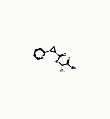 CC(C)(C)C(=O)[C@@H](NC(=O)[C@@H]1C[C@@H]1c1ccccn1)C(C)(C)C